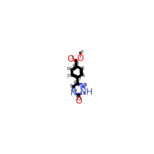 COC(=O)c1ccc(-c2cnc(=O)[nH]n2)cc1